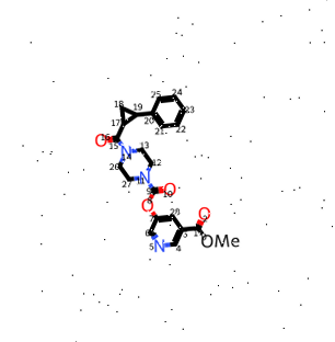 COC(=O)c1cncc(OC(=O)N2CCN(C(=O)C3CC3c3ccccc3)CC2)c1